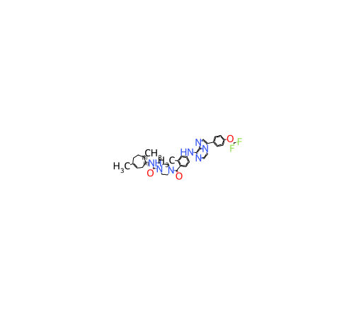 CC1=CC[C@@H](NC(=O)N2CCN(C(=O)c3ccc(Nc4nccn5c(-c6ccc(OC(F)F)cc6)cnc45)cc3C)CC2)[C@H](C)CC1